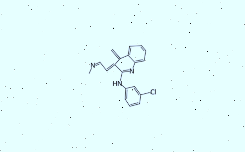 C=c1/c(=C\C=N/C)c(Nc2cccc(Cl)c2)nc2ccccc12